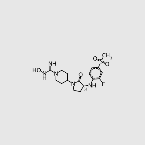 CS(=O)(=O)c1ccc(N[C@H]2CCN(C3CCN(C(=N)NO)CC3)C2=O)c(F)c1